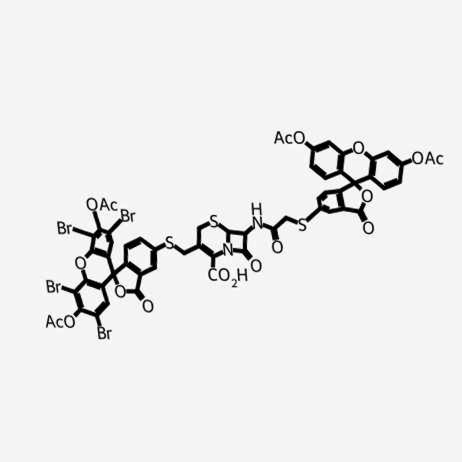 CC(=O)Oc1ccc2c(c1)Oc1cc(OC(C)=O)ccc1C21OC(=O)c2cc(SCC(=O)NC3C(=O)N4C(C(=O)O)=C(CSc5ccc6c(c5)C(=O)OC65c6cc(Br)c(OC(C)=O)c(Br)c6Oc6c5cc(Br)c(OC(C)=O)c6Br)CSC34)ccc21